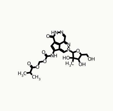 CC(C)C(=O)OCOC(=O)Nc1cc2c(=O)[nH]ncc3nn(C4OC(CO)C(O)C4(C)O)cc1c32